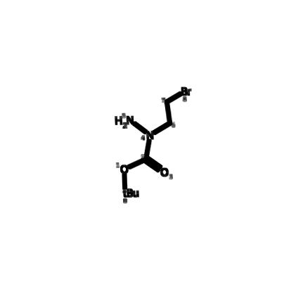 CC(C)(C)OC(=O)N(N)CCBr